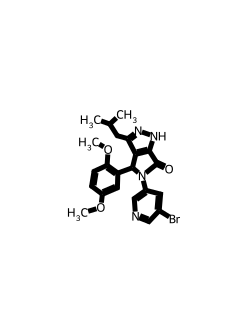 COc1ccc(OC)c(C2c3c(CC(C)C)n[nH]c3C(=O)N2c2cncc(Br)c2)c1